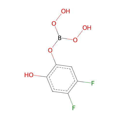 OOB(OO)Oc1cc(F)c(F)cc1O